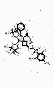 Cc1cc(C)c(S(=O)(=O)NN=C2CC(C(B3OC(C)(C)C(C)(C)O3)B3OC(C)(C)C(C)(C)O3)(N(Cc3ccccc3)C(=O)OC(C)(C)C)C2)c(C)c1